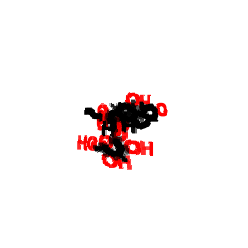 CCCC1O[C@@H]2C[C@H]3[C@@H]4CCC5=CC(=O)C=C[C@]5(C)[C@H]4[C@@H](O)C[C@]3(C)[C@]2(C(=O)CO[C@@H]2O[C@H](CO)[C@@H](O)[C@H](C)[C@H]2O)O1